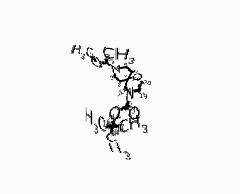 COC(C)N1CCC2(CC1)CN(C(=O)OC(C)(C)C)CCO2